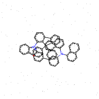 c1ccc(C2(c3ccccc3)c3ccccc3-c3cccc(-n4c5ccccc5c5ccc(-c6cccc(N(c7cccc8ccccc78)c7cccc8ccccc78)c6)cc54)c32)cc1